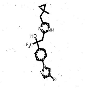 CC1(Cc2c[nH]c(CC(O)(c3ccc(-n4cc(Br)cn4)cc3)C(F)(F)F)n2)CC1